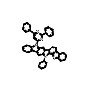 c1ccc(-c2cc(-n3c4ccccc4c4cc5c(cc43)c3ccc4c6ccccc6sc4c3n5-c3ccccc3)nc(-c3ccccc3)n2)cc1